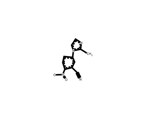 Cc1nccn1-c1ccc([N+](=O)[O-])c(C#N)c1